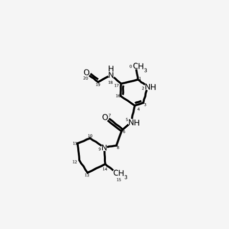 CC1NC=C(NC(=O)CN2CCCCC2C)C=C1NC=O